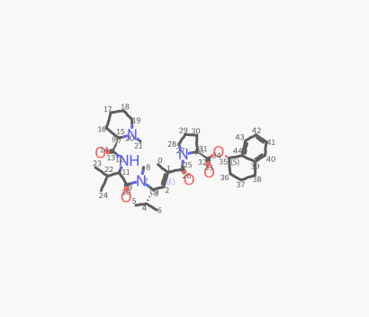 C/C(=C\[C@H](C(C)C)N(C)C(=O)C(NC(=O)[C@H]1CCCCN1C)C(C)C)C(=O)N1CCC[C@H]1C(=O)O[C@H]1CCCc2ccccc21